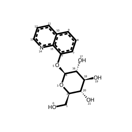 OC[C@H]1O[C@@H](Oc2cccc3cccnc23)[C@H](O)[C@@H](O)[C@@H]1O